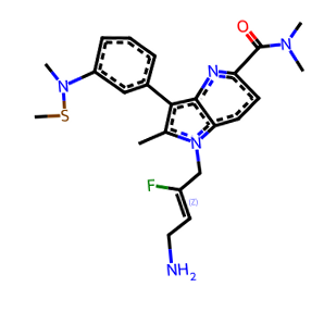 CSN(C)c1cccc(-c2c(C)n(C/C(F)=C/CN)c3ccc(C(=O)N(C)C)nc23)c1